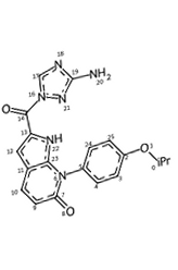 CC(C)Oc1ccc(-n2c(=O)ccc3cc(C(=O)n4cnc(N)n4)[nH]c32)cc1